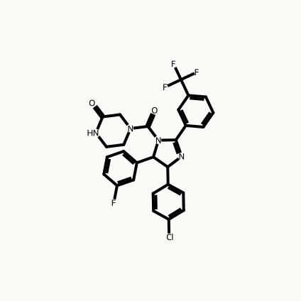 O=C1CN(C(=O)N2C(c3cccc(C(F)(F)F)c3)=NC(c3ccc(Cl)cc3)C2c2cccc(F)c2)CCN1